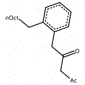 CCCCCCCCCc1ccccc1CC(=O)CC(C)=O